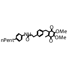 CCCCCc1ccc(NC(=O)CCc2ccc(CC3=C(C)C(=O)C(OC)=C(OC)C3=O)cc2)cc1